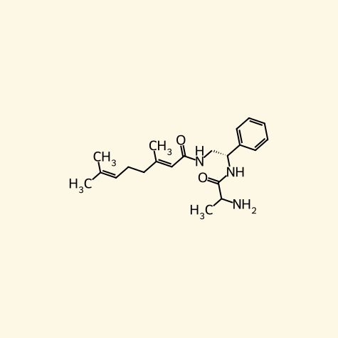 CC(C)=CCC/C(C)=C/C(=O)NC[C@@H](NC(=O)C(C)N)c1ccccc1